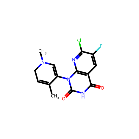 CC1=CCN(C)C=C1n1c(=O)[nH]c(=O)c2cc(F)c(Cl)nc21